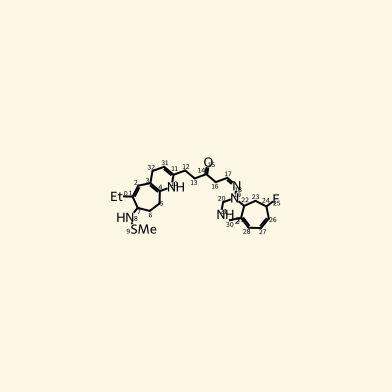 CCC1=CC2=C(CCC1NSC)NC(CCC(=O)C/C=N\N(CN)C1CC(F)C=CC=C1C)=CC2